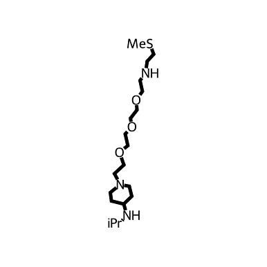 CSCCNCCOCCOCCOCCN1CCC(NC(C)C)CC1